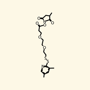 Cc1cnc(SSCCOCCOCCC(=O)ON2C(=O)CC(C)C2=O)c(C)c1